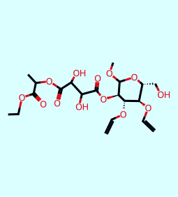 C=CO[C@H]1[C@H](OC=C)[C@@H](OC(=O)C(O)C(O)C(=O)OC(C)C(=O)OCC)C(OC)O[C@@H]1CO